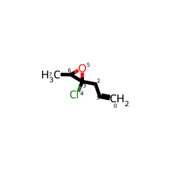 C=CCC1(Cl)OC1C